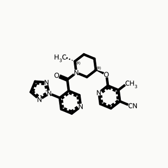 Cc1c(C#N)ccnc1O[C@@H]1CC[C@@H](C)N(C(=O)c2cnccc2-n2nccn2)C1